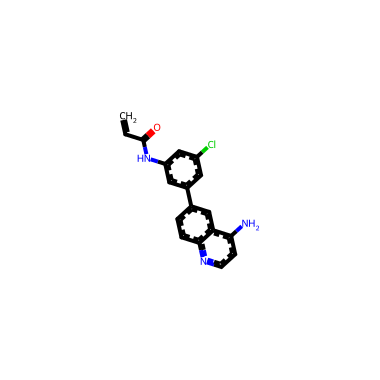 C=CC(=O)Nc1cc(Cl)cc(-c2ccc3nccc(N)c3c2)c1